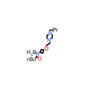 CCCCC(=O)N(C)[C@H]1C[C@H](OCCN2CCN(CC(C)C)CC2)C1